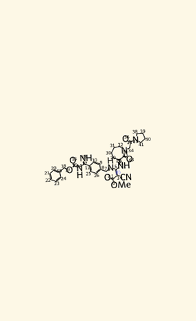 COC(=O)/C(C#N)=C(\NCc1ccc(C(=N)NC(=O)OCc2ccccc2)cc1)N[C@H]1CCCCN(CC(=O)N2CCCC2)C1=O